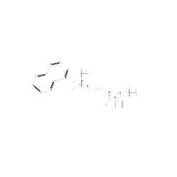 CN(C)CCNSc1cccc2ccccc12